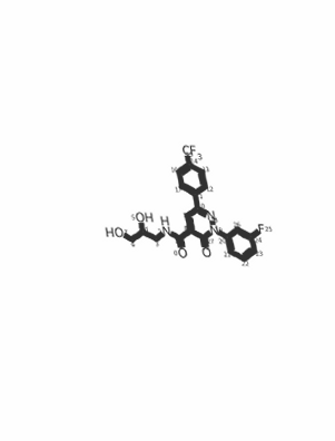 O=C(NCC(O)CO)c1cc(-c2ccc(C(F)(F)F)cc2)nn(-c2cccc(F)c2)c1=O